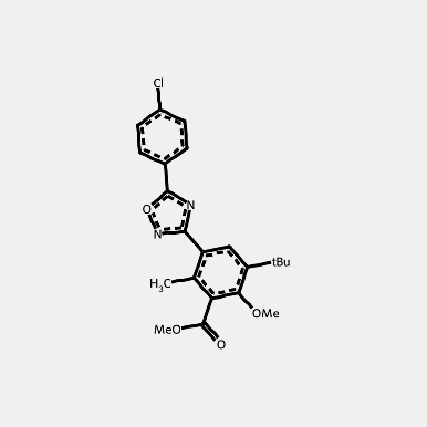 COC(=O)c1c(C)c(-c2noc(-c3ccc(Cl)cc3)n2)cc(C(C)(C)C)c1OC